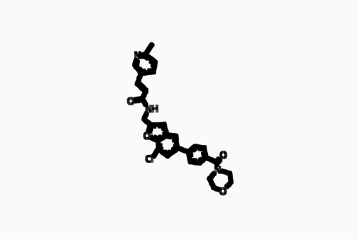 Cc1ccc(/C=C/C(=O)NCc2cc3cc(-c4ccc(C(=O)N5CCOCC5)cc4)cc(Cl)c3o2)cn1